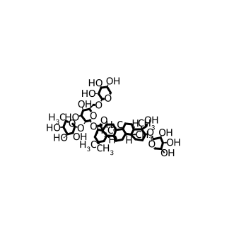 C[C@@H]1O[C@@H](O[C@H]2[C@H](OC(=O)[C@]34CCC(C)(C)C[C@H]3C3=CC[C@@H]5[C@@]6(C)CC[C@H](O[C@@H]7OC[C@H](O)[C@H](O)[C@H]7O)[C@@](C)(CO)[C@@H]6CC[C@@]5(C)[C@]3(C)CC4)O[C@H](CO[C@@H]3OC[C@@H](O)[C@H](O)[C@H]3O)[C@@H](O)[C@@H]2O)[C@H](O)[C@H](O)[C@H]1O